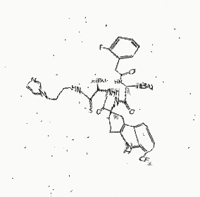 CCC(C)[C@H](NC(=O)Cc1ccccc1F)C(=O)N[C@]1(C(=O)NC(C(=S)NCCCn2ccnc2)[C@H](C)CC)CCc2[nH]c3c(C(F)(F)F)cccc3c2C1